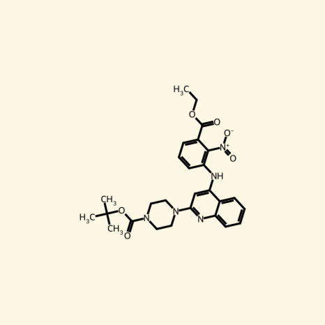 CCOC(=O)c1cccc(Nc2cc(N3CCN(C(=O)OC(C)(C)C)CC3)nc3ccccc23)c1[N+](=O)[O-]